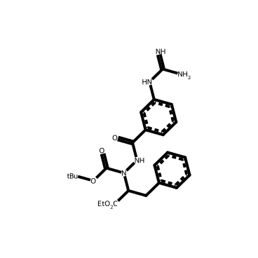 CCOC(=O)C(Cc1ccccc1)N(NC(=O)c1cccc(NC(=N)N)c1)C(=O)OC(C)(C)C